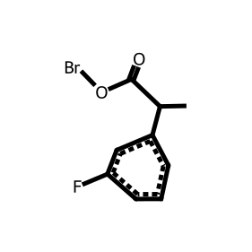 CC(C(=O)OBr)c1cccc(F)c1